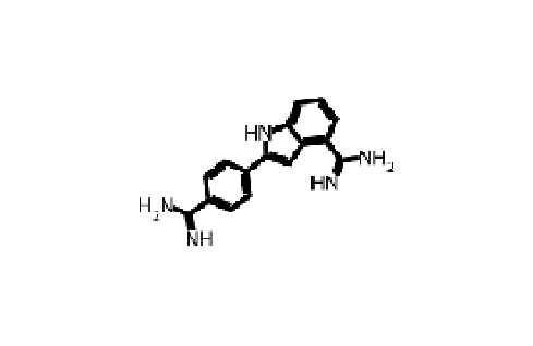 N=C(N)c1ccc(-c2cc3c(C(=N)N)cccc3[nH]2)cc1